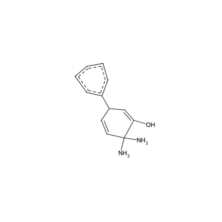 NC1(N)C=CC(c2ccccc2)C=C1O